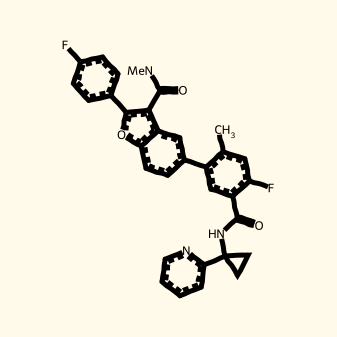 CNC(=O)c1c(-c2ccc(F)cc2)oc2ccc(-c3cc(C(=O)NC4(c5ccccn5)CC4)c(F)cc3C)cc12